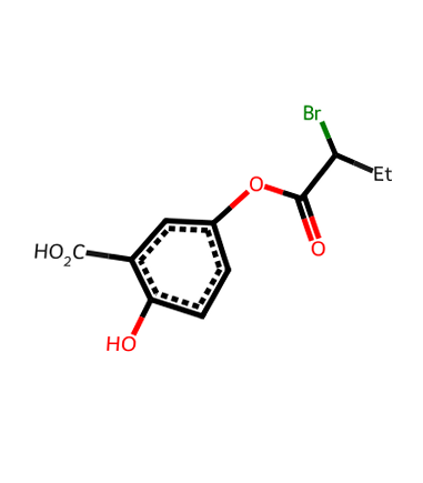 CCC(Br)C(=O)Oc1ccc(O)c(C(=O)O)c1